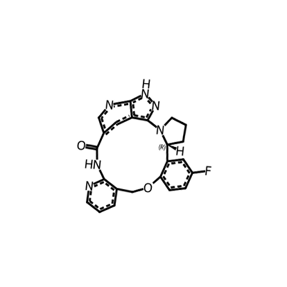 O=C1Nc2ncccc2COc2ccc(F)cc2[C@H]2CCCN2c2n[nH]c3ncc1cc23